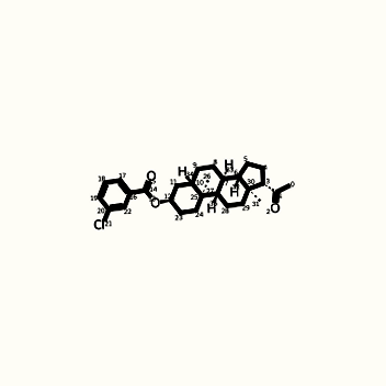 CC(=O)[C@H]1CC[C@H]2[C@@H]3CC[C@H]4C[C@H](OC(=O)c5cccc(Cl)c5)CC[C@]4(C)[C@H]3CC[C@]12C